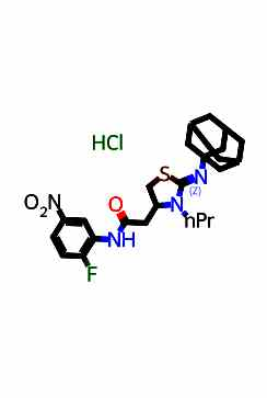 CCCN1/C(=N/C23CC4CC(CC(C4)C2)C3)SCC1CC(=O)Nc1cc([N+](=O)[O-])ccc1F.Cl